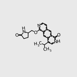 CC(C)c1c[nH]c(=O)c2cc3ccnc(OCC4CCC(=O)N4)c3cc12